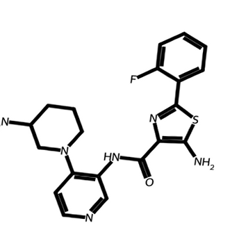 Nc1sc(-c2ccccc2F)nc1C(=O)Nc1cnccc1N1CCCC(N)C1